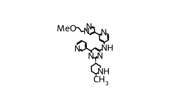 COCCn1cc(-c2cc(Nc3cc(-c4cccnc4)nc([C@@H]4CC[C@H](C)NC4)n3)ccn2)cn1